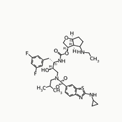 CCNC1CC[C@@H]2OC[C@H](OC(=O)N[C@@H](Cc3cc(F)cc(F)c3)[C@H](O)CN(CC(C)C)S(=O)(=O)c3ccc4nc(NC5CC5)sc4c3)[C@H]12